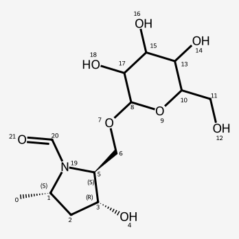 C[C@H]1C[C@@H](O)[C@H](COC2OC(CO)C(O)C(O)C2O)N1C=O